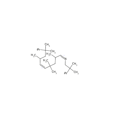 CC(/C=N\CC(C)(C)C(C)C)CC(C)(C)/C=C\C(C)CC(C)(C)C(C)C